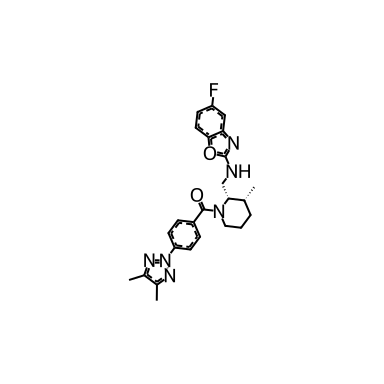 Cc1nn(-c2ccc(C(=O)N3CCC[C@@H](C)[C@H]3CNc3nc4cc(F)ccc4o3)cc2)nc1C